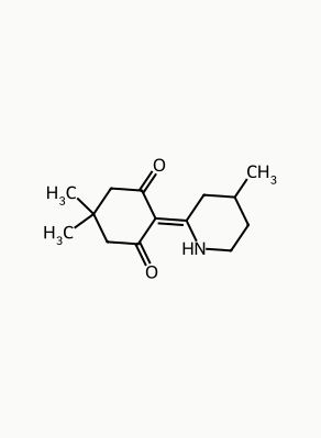 CC1CCNC(=C2C(=O)CC(C)(C)CC2=O)C1